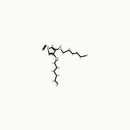 C=C.CCCCCCOc1cscc1OCCCCCC